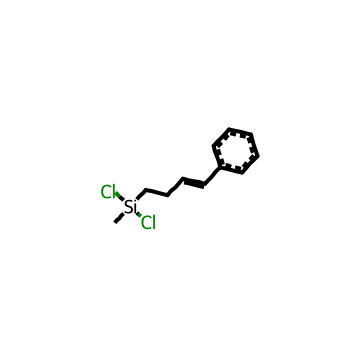 C[Si](Cl)(Cl)CCC=Cc1ccccc1